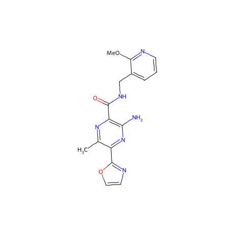 COc1ncccc1CNC(=O)c1nc(C)c(-c2ncco2)nc1N